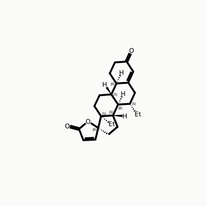 CC[C@H]1CC2=CC(=O)CC[C@@H]2[C@H]2CC[C@@]3(CC)[C@@H](CC[C@@]34C=CC(=O)O4)[C@H]12